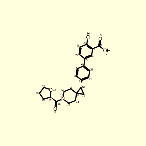 O=C(O)c1cc(-c2ccc([C@@H]3CC34CCN(C(=O)[C@H]3CCCO3)CC4)cc2)ccc1Cl